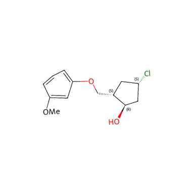 COc1cccc(OC[C@@H]2C[C@H](Cl)C[C@H]2O)c1